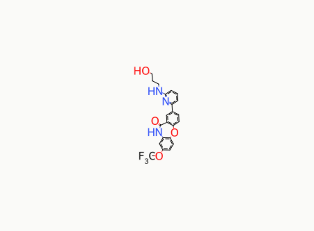 O=C1Nc2cc(OC(F)(F)F)ccc2Oc2ccc(-c3cccc(NCCCO)n3)cc21